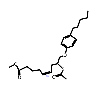 CCCCCc1ccc(OCC(C/C=C\CCCC(=O)OC)SC(C)=O)cc1